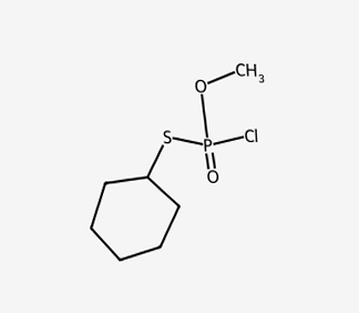 COP(=O)(Cl)SC1CCCCC1